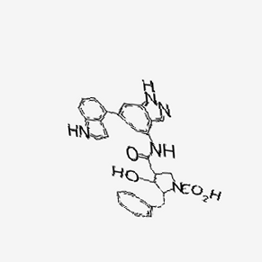 O=C(Nc1cc(-c2cccc3[nH]ccc23)cc2[nH]ncc12)C1CN(C(=O)O)C(Cc2ccccc2)C1O